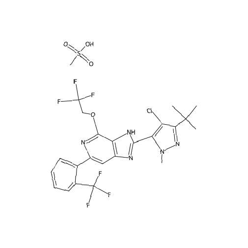 CS(=O)(=O)O.Cn1nc(C(C)(C)C)c(Cl)c1-c1nc2cc(-c3ccccc3C(F)(F)F)nc(OCC(F)(F)F)c2[nH]1